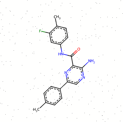 Cc1ccc(-c2cnc(N)c(C(=O)Nc3ccc(C)c(F)c3)n2)cc1